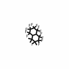 CC1(C)C2C(C(F)(F)C(F)(F)C(F)(F)C2(F)F)C(F)(F)C(F)(F)C1(C)I